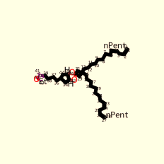 CCCCC/C=C\C/C=C\CCCCCCCCC1(CCCCCCCC/C=C\C/C=C\CCCCC)CC2(C1)O[C@H]1CC(CCCCP(C)(=O)CC)C[C@H]1O2